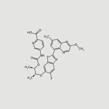 COc1cnc2c(-c3nc4cc(F)c(O[C@@H](C)[C@@H](C)OC(=O)Nc5ccc(C(=O)O)nc5)cc4s3)cc(C)cc2n1